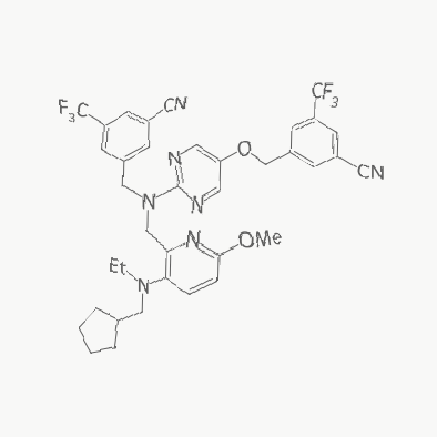 CCN(CC1CCCC1)c1ccc(OC)nc1CN(Cc1cc(C#N)cc(C(F)(F)F)c1)c1ncc(OCc2cc(C#N)cc(C(F)(F)F)c2)cn1